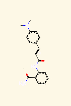 CN(C)c1ccc(/C=C/C(=O)Nc2ccccc2C(N)=O)cc1